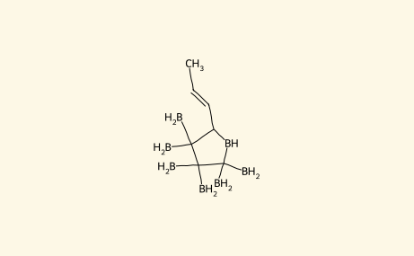 BC1(B)BC(/C=C/C)C(B)(B)C1(B)B